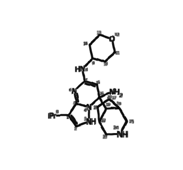 CC(C)C1=CNN2C1=NC(NC1CCOCC1)=CC2(N)C1C2CCC1CNC2